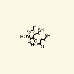 CCSSO.O=C(O)CCS.O=C(O)CCS